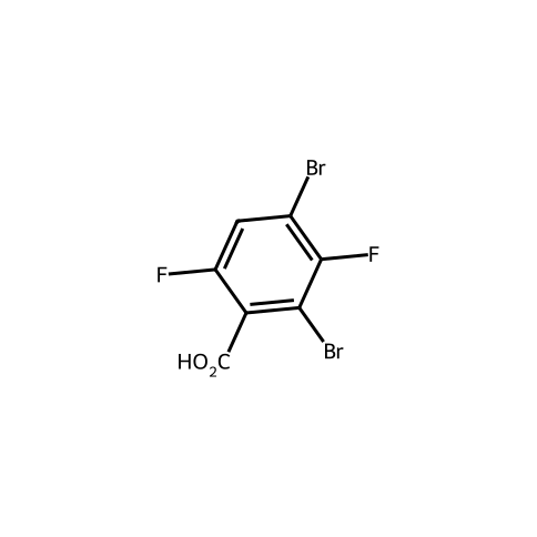 O=C(O)c1c(F)cc(Br)c(F)c1Br